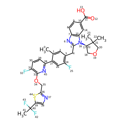 Cc1cc(Cc2nc3ccc(C(=O)O)cc3n2[C@@H]2COCC2(C)C)c(F)cc1-c1ccc(F)c(OCc2ncc(C(C)(F)F)s2)n1